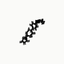 Nc1ccc(C2CCC(N3CCCC3)CC2)cc1